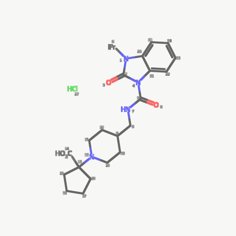 CC(C)n1c(=O)n(C(=O)NCC2CCN(C3(C(=O)O)CCCC3)CC2)c2ccccc21.Cl